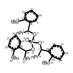 CCCC(OP(=O)(OC(CCC)c1ccccc1C(C)(C)C)OC(CCC)c1ccccc1C(C)(C)C)c1ccccc1C(C)(C)C